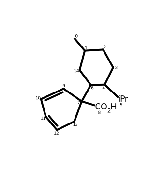 CC1CCC(C(C)C)C(C2(C(=O)O)C=CC=CC2)C1